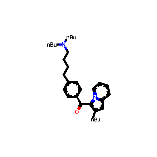 CCCCc1cc2ccccn2c1C(=O)c1ccc(CCCCN(CCCC)CCCC)cc1